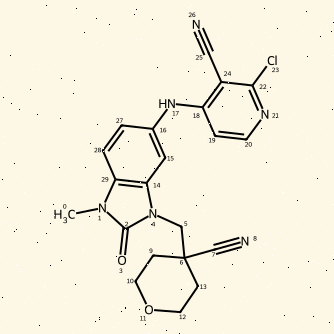 Cn1c(=O)n(CC2(C#N)CCOCC2)c2cc(Nc3ccnc(Cl)c3C#N)ccc21